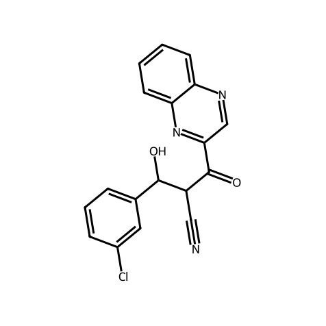 N#CC(C(=O)c1cnc2ccccc2n1)C(O)c1cccc(Cl)c1